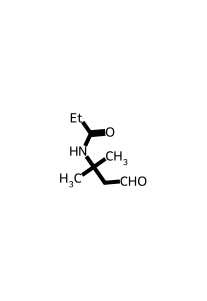 CCC(=O)NC(C)(C)CC=O